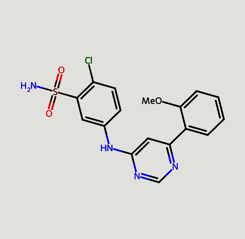 COc1ccccc1-c1cc(Nc2ccc(Cl)c(S(N)(=O)=O)c2)ncn1